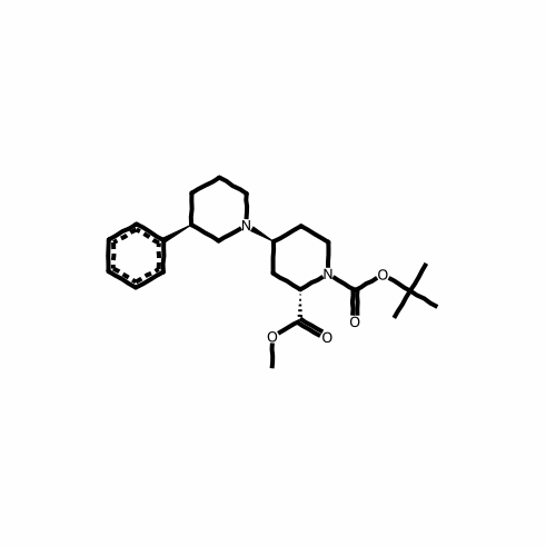 COC(=O)[C@@H]1C[C@@H](N2CCC[C@H](c3ccccc3)C2)CCN1C(=O)OC(C)(C)C